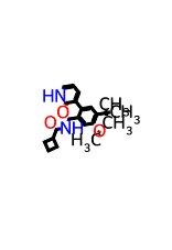 COc1cc(CNC(=O)C2CCC2)c(-c2ccc[nH]c2=O)cc1C(C)(C)C